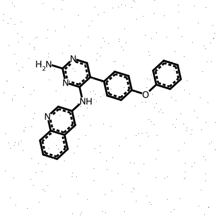 Nc1ncc(-c2ccc(Oc3ccccc3)cc2)c(Nc2cnc3ccccc3c2)n1